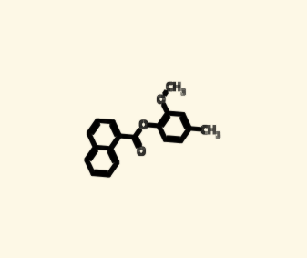 COc1cc(C)ccc1OC(=O)c1cccc2ccccc12